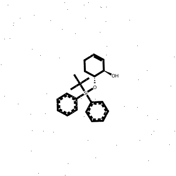 CC(C)(C)[Si](O[C@@H]1CCC=C[C@H]1O)(c1ccccc1)c1ccccc1